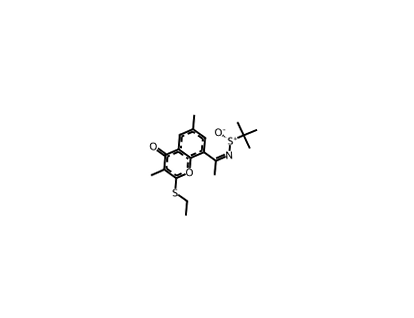 CCSc1oc2c(/C(C)=N\[S@+]([O-])C(C)(C)C)cc(C)cc2c(=O)c1C